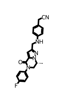 C[C@@H]1CN(c2ccc(F)cc2)C(=O)c2cc(CNc3ccc(CC#N)cc3)nn21